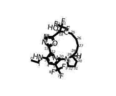 CCNc1cc(C(F)(F)F)c2nc1-c1nnc(o1)[C@@](O)(C(F)(F)F)CCCCC[C@@H]1CCCN21